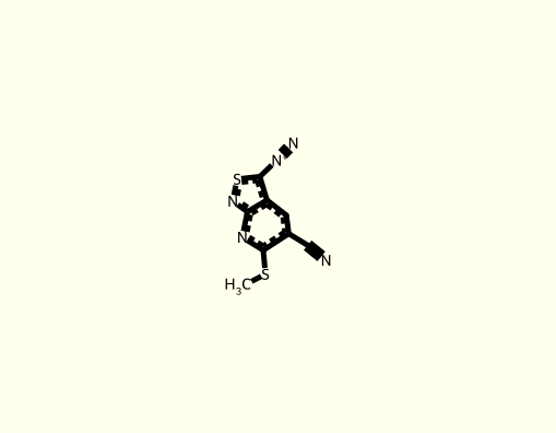 CSc1nc2nsc([N+]#N)c2cc1C#N